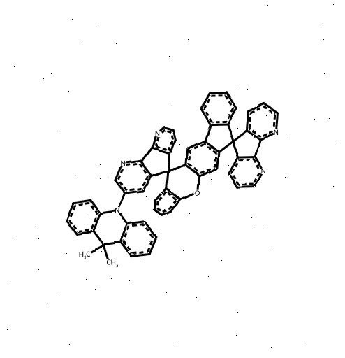 CC1(C)c2ccccc2N(c2cnc3c(c2)C2(c4ccccc4Oc4cc5c(cc42)-c2ccccc2C52c4cccnc4-c4ncccc42)c2cccnc2-3)c2ccccc21